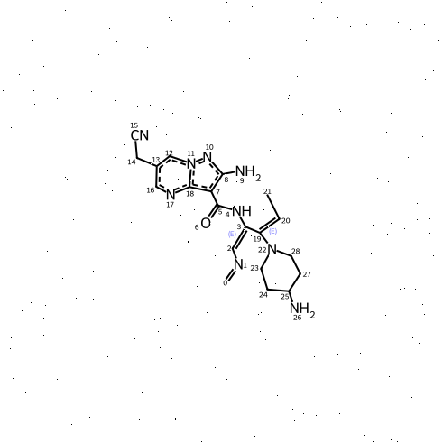 C=N/C=C(NC(=O)c1c(N)nn2cc(CC#N)cnc12)\C(=C/C)N1CCC(N)CC1